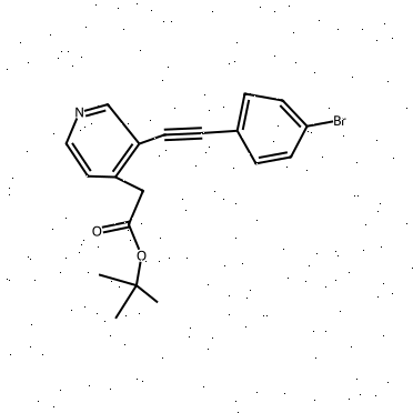 CC(C)(C)OC(=O)Cc1ccncc1C#Cc1ccc(Br)cc1